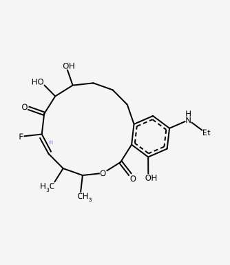 CCNc1cc(O)c2c(c1)CCCC(O)C(O)C(=O)/C(F)=C\C(C)C(C)OC2=O